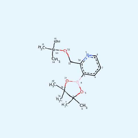 CC1(C)OB(c2cccnc2CO[Si](C)(C)C(C)(C)C)OC1(C)C